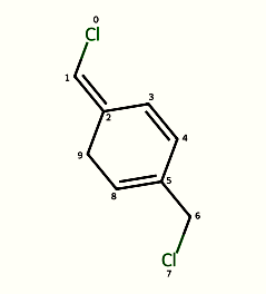 ClC=C1C=CC(CCl)=CC1